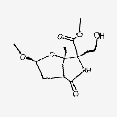 COC(=O)[C@]1(CO)NC(=O)C2C[C@@H](OC)O[C@@]21C